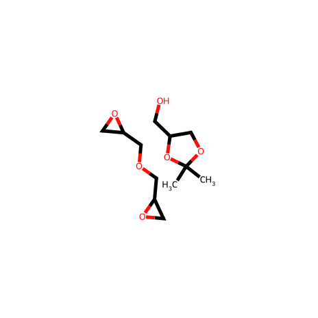 C(OCC1CO1)C1CO1.CC1(C)OCC(CO)O1